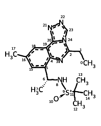 CCc1nc2c([C@@H](C)N[S@+]([O-])C(C)(C)C)cc(C)cc2c2nncn12